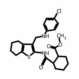 COC(=O)C1CCCCC1C(=O)Nc1sc2c(c1CNc1ccc(Cl)cc1)CCCC2